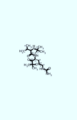 CC(C)C(NC(C)(C)C)C(=O)N[C@@H](CCCNC(N)=O)C(=O)C(C)(C)C